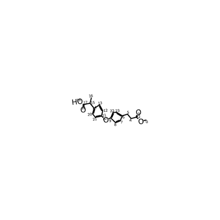 COC(=O)CCc1ccc(Oc2ccc(C(C)C(=O)O)cc2)cc1